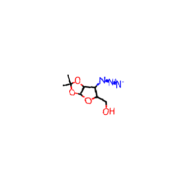 CC1(C)OC2OC(CO)C(N=[N+]=[N-])C2O1